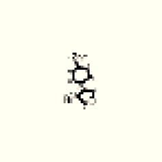 C1CCOC1.[Br-].[Zn+][C]1=CCCCC1